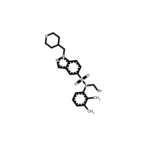 Cc1cccc(N(CC(C)C)S(=O)(=O)c2ccc3c(cnn3CC3CCOCC3)c2)c1C